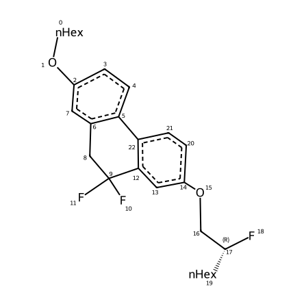 CCCCCCOc1ccc2c(c1)CC(F)(F)c1cc(OC[C@H](F)CCCCCC)ccc1-2